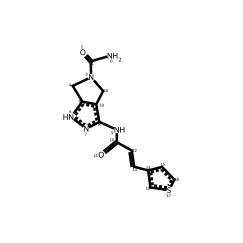 NC(=O)N1Cc2[nH]nc(NC(=O)C=Cc3ccsc3)c2C1